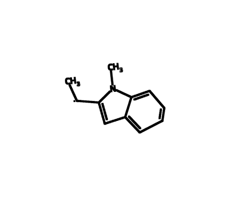 C[CH]c1cc2ccccc2n1C